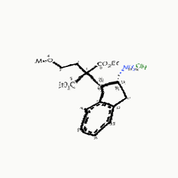 CCOC(=O)C(CCOC)(C(=O)OCC)[C@@H]1c2ccccc2C[C@H]1N.Cl